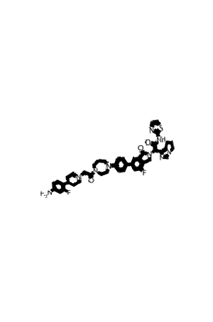 Nc1ccc(C2CCN(CC(=O)N3CCCN(c4ccc(-c5cc(F)c6c(c5)C(=O)N(C(C(=O)Nc5nccs5)c5ncn7c5CCC7)C6)cc4)CC3)CC2)c(F)c1